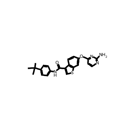 CC(C)(C)c1ccc(NC(=O)c2csc3cc(Oc4ccnc(N)n4)ccc23)cc1